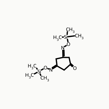 C[Si](C)(C)ON=C1CC(=O)CC(=NO[Si](C)(C)C)C1